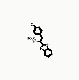 O=C(O)NC(Cc1ccc(Cl)cc1)c1nc2ccccc2[nH]1